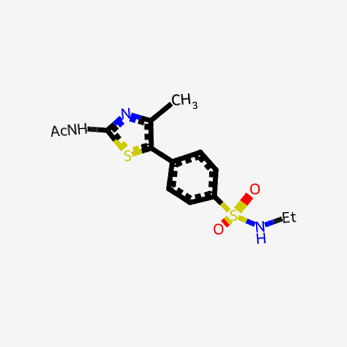 CCNS(=O)(=O)c1ccc(-c2sc(NC(C)=O)nc2C)cc1